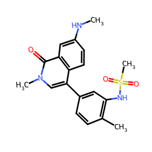 CNc1ccc2c(-c3ccc(C)c(NS(C)(=O)=O)c3)cn(C)c(=O)c2c1